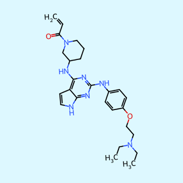 C=CC(=O)N1CCCC(Nc2nc(Nc3ccc(OCCN(CC)CC)cc3)nc3[nH]ccc23)C1